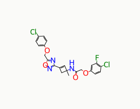 CC1(NC(=O)COc2ccc(Cl)c(F)c2)C=C(c2noc(COc3ccc(Cl)cc3)n2)C1